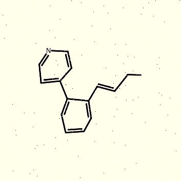 CCC=Cc1ccccc1-c1ccncc1